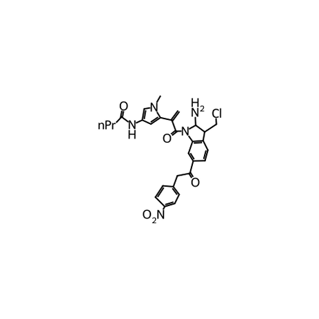 C=C(C(=O)N1c2cc(C(=O)Cc3ccc([N+](=O)[O-])cc3)ccc2C(CCl)C1N)c1cc(NC(=O)CCC)cn1C